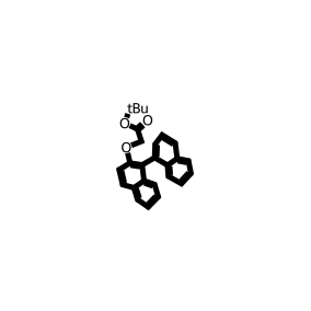 CC(C)(C)OC(=O)COc1ccc2ccccc2c1-c1cccc2ccccc12